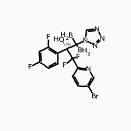 BC(B)(n1cnnn1)[C@](O)(c1ccc(F)cc1F)C(F)(F)c1ccc(Br)cn1